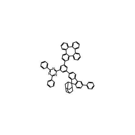 c1ccc(-c2ccc3c(c2)-c2ccc(-c4cc(-c5ccc6c(c5)-c5ccccc5-c5ccccc5-c5ccccc5-6)cc(-c5nc(-c6ccccc6)nc(-c6ccccc6)n5)c4)cc2C32C3CC4CC(C3)CC2C4)cc1